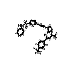 O=S(=O)(Nc1ccncc1)c1ccc(C#Cc2cnn3c(C(F)F)cc(-c4ccc(C(F)(F)F)cc4)nc23)s1